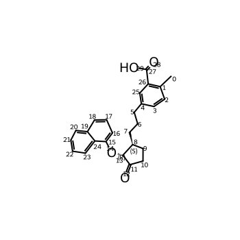 Cc1ccc(CCC[C@H]2CCC(=O)[C@@H]2Oc2cccc3ccccc23)cc1C(=O)O